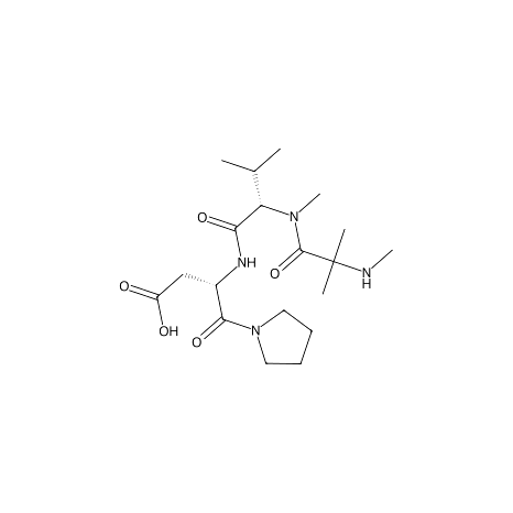 CNC(C)(C)C(=O)N(C)[C@H](C(=O)N[C@@H](CC(=O)O)C(=O)N1CCCC1)C(C)C